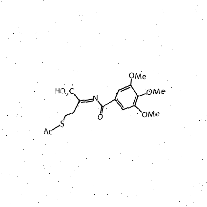 COc1cc(C(=O)/N=C(\CCSC(C)=O)C(=O)O)cc(OC)c1OC